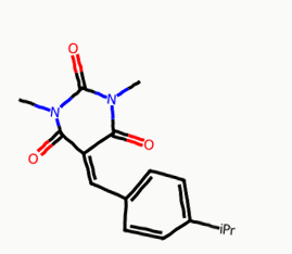 CC(C)c1ccc(C=C2C(=O)N(C)C(=O)N(C)C2=O)cc1